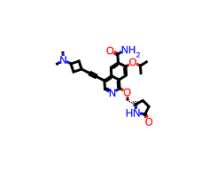 CC(C)Oc1cc2c(OC[C@@H]3CCC(=O)N3)ncc(C#CC3CC(N(C)C)C3)c2cc1C(N)=O